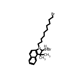 Br.CC1N(CCCCCCCCCCBr)c2ccc3ccccc3c2C1(C)C